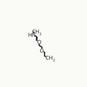 CCCOCCOC=CNC